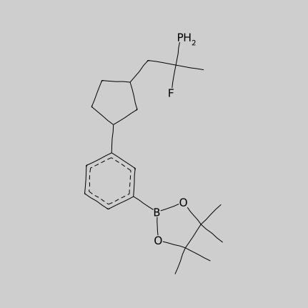 CC(F)(P)CC1CCC(c2cccc(B3OC(C)(C)C(C)(C)O3)c2)C1